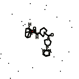 O=C(N1CCN(c2ncccn2)CC1)N1CCC[C@H](NC(=O)[C@@]23CC4CC(C2)C(O)[C@H](C4)C3)C1